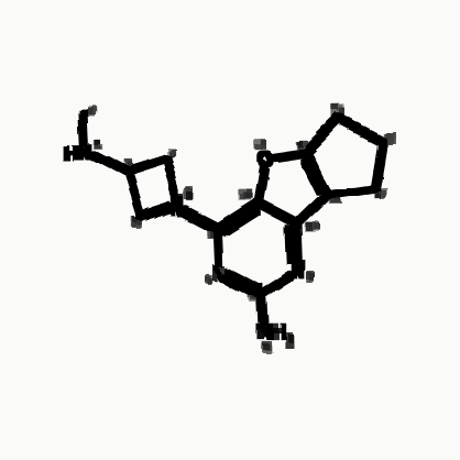 CNC1CN(c2nc(N)nc3c4c(oc23)CCC4)C1